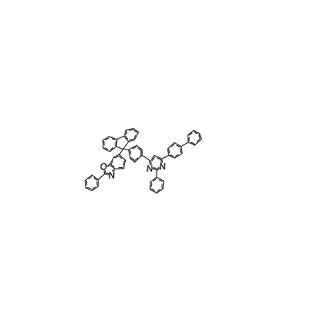 c1ccc(-c2ccc(-c3cc(-c4ccc(C5(c6ccc7nc(-c8ccccc8)oc7c6)c6ccccc6-c6ccccc65)cc4)nc(-c4ccccc4)n3)cc2)cc1